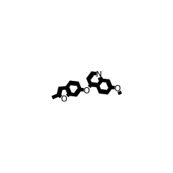 COc1ccc2c(Oc3ccc4cc(C)oc4c3)ccnc2c1